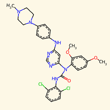 COc1ccc(N(C(=O)Nc2c(Cl)cccc2Cl)c2cc(Nc3ccc(N4CCN(C)CC4)cc3)ncn2)c(OC)c1